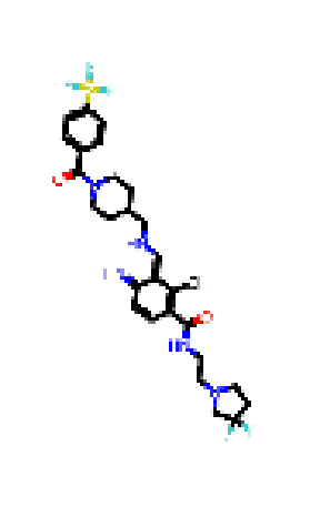 CC1=C(C(=O)NCCN2CCC(F)(F)C2)C=CC(=N)/C1=C\NCC1CCN(C(=O)c2ccc(S(F)(F)F)cc2)CC1